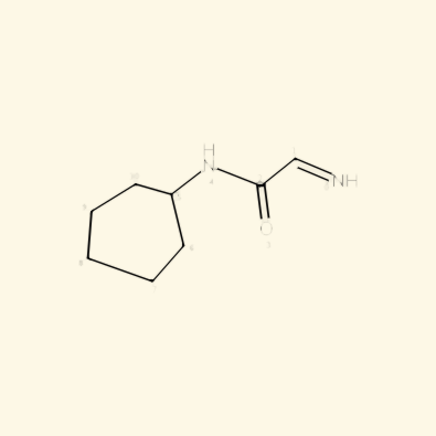 N=CC(=O)NC1CCCCC1